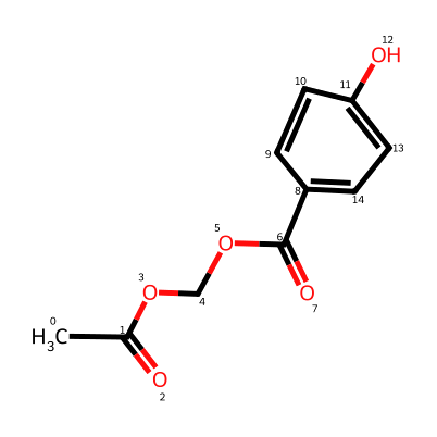 CC(=O)OCOC(=O)c1ccc(O)cc1